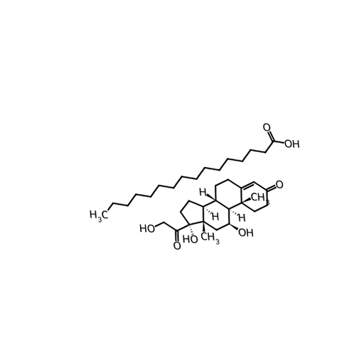 CCCCCCCCCCCCCCCC(=O)O.C[C@]12CCC(=O)C=C1CC[C@@H]1[C@@H]2[C@@H](O)C[C@@]2(C)[C@H]1CC[C@]2(O)C(=O)CO